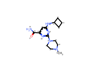 CN1CCN(c2nc(NC3CCC3)cc(C(N)=O)n2)CC1